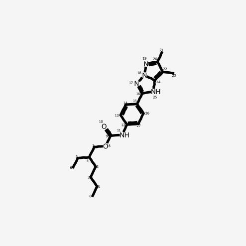 CCCCC(CC)COC(=O)Nc1ccc(-c2nn3nc(C)c(C)c3[nH]2)cc1